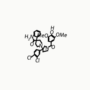 COc1cc(C(=O)N2CCC(c3ccc(Cl)c(Cl)c3)(N3CCC(C(N)=O)(c4ccccc4)CC3)C2)cc(OC)c1O